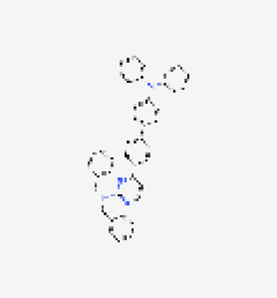 c1ccc(CN(Cc2ccccc2)c2nccc(-c3ccc(-c4ccc(N(c5ccccc5)c5ccccc5)cc4)cc3)n2)cc1